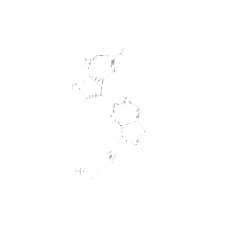 O=C(O)/C=C/n1ccc2cnc(-c3c[nH]c4ncc(F)cc34)nc21